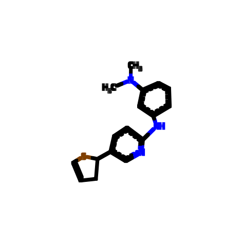 CN(C)c1cccc(Nc2ccc(C3CC=CS3)cn2)c1